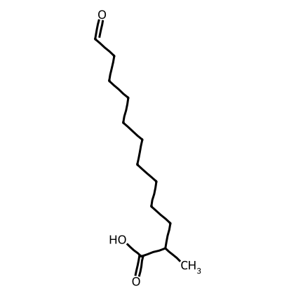 CC(CCCCCCCCCC=O)C(=O)O